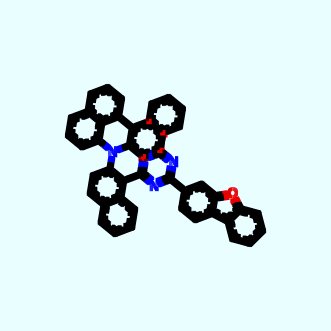 c1ccc(-c2nc(-c3ccc4c(c3)oc3ccccc34)nc(-c3c(N4c5ccccc5-c5cccc6cccc4c56)ccc4ccccc34)n2)cc1